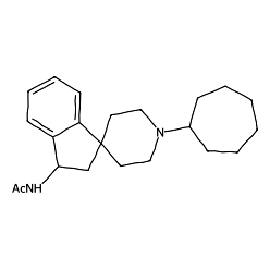 CC(=O)NC1CC2(CCN(C3CCCCCC3)CC2)c2ccccc21